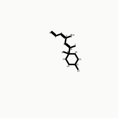 C=C/C=C(F)\C=C(/C)C1(C)CCC(C)CC1